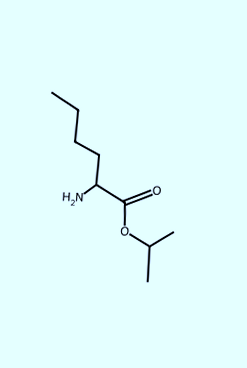 CCCCC(N)C(=O)OC(C)C